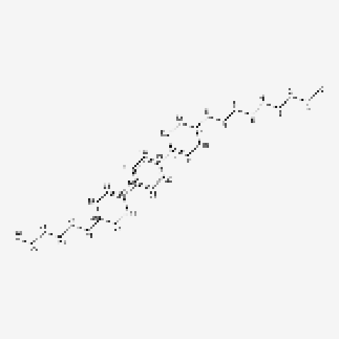 CCCCCCCCCC1CC=C(c2ccc(C3=CCC(CCCCCC)CC3)cc2)CC1